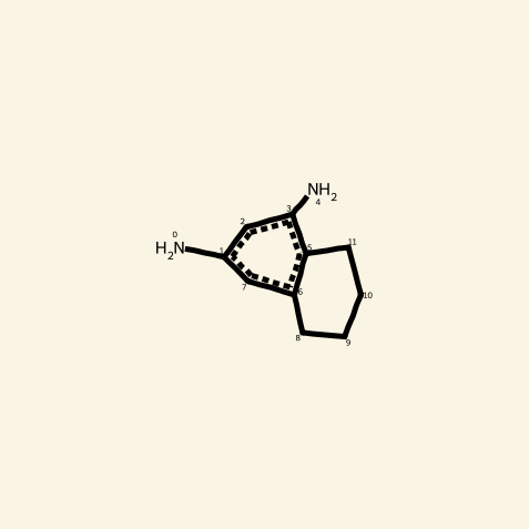 Nc1cc(N)c2c(c1)CCCC2